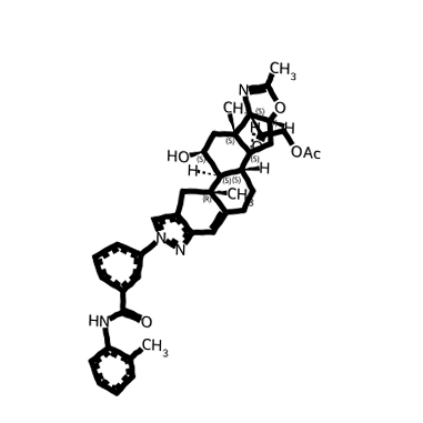 CC(=O)OCC(=O)[C@@]12N=C(C)O[C@@H]1C[C@H]1[C@@H]3CCC4=Cc5nn(-c6cccc(C(=O)Nc7ccccc7C)c6)cc5C[C@]4(C)[C@H]3[C@@H](O)C[C@@]12C